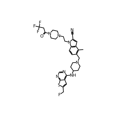 Cc1c(CN2CCC(Nc3ncnc4sc(CF)cc34)CC2)ccc2c1cc(C#N)n2CCN1CCN(C(=O)CC(F)(F)F)CC1